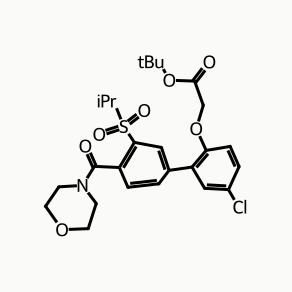 CC(C)S(=O)(=O)c1cc(-c2cc(Cl)ccc2OCC(=O)OC(C)(C)C)ccc1C(=O)N1CCOCC1